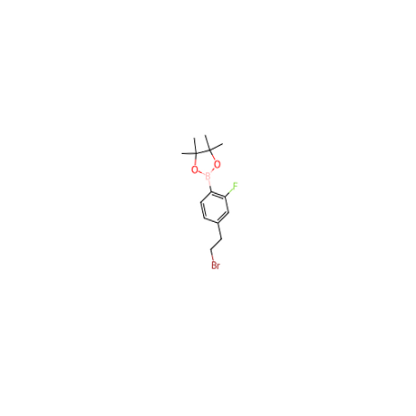 CC1(C)OB(c2ccc(CCBr)cc2F)OC1(C)C